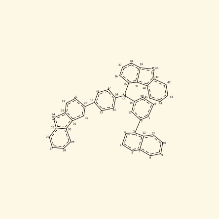 c1cc(-c2cccc3ccccc23)cc(N(c2ccc(-c3ccc4sc5ccccc5c4c3)cc2)c2cccc3sc4ccccc4c23)c1